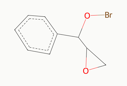 BrOC(c1ccccc1)C1CO1